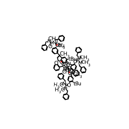 CN(Cc1ccccc1)P(Oc1ccc(C(C)(CC(=O)OCCOC(=O)CC(C)(c2ccc(OP(N(C)Cc3ccccc3)N(C)Cc3ccccc3)c(C(C)(C)C)c2)c2ccc(OP(N(C)Cc3ccccc3)N(C)Cc3ccccc3)c(C(C)(C)C)c2)c2ccc(OP(N(C)Cc3ccccc3)N(C)Cc3ccccc3)c(C(C)(C)C)c2)cc1C(C)(C)C)N(C)Cc1ccccc1